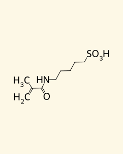 C=C(C)C(=O)NCCCCCS(=O)(=O)O